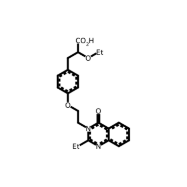 CCOC(Cc1ccc(OCCn2c(CC)nc3ccccc3c2=O)cc1)C(=O)O